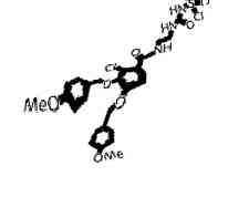 COc1ccc(COc2ccc(C(=O)NCCNC(=O)NS(=O)(=O)Cl)c(Cl)c2OCc2ccc(OC)cc2)cc1